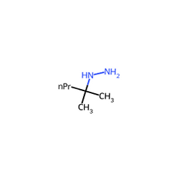 CCCC(C)(C)NN